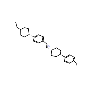 CC[C@H]1CC[C@H](c2ccc(/C=C/[C@H]3CC[C@H](c4ccc(F)cc4)CC3)cc2)CC1